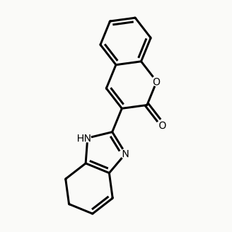 O=c1oc2ccccc2cc1-c1nc2c([nH]1)CCC=C2